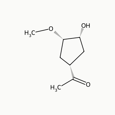 CO[C@H]1C[C@@H](C(C)=O)C[C@H]1O